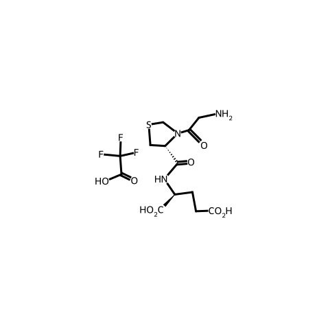 NCC(=O)N1CSC[C@H]1C(=O)N[C@@H](CCC(=O)O)C(=O)O.O=C(O)C(F)(F)F